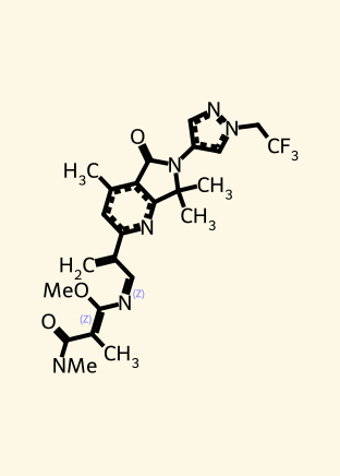 C=C(/C=N\C(OC)=C(/C)C(=O)NC)c1cc(C)c2c(n1)C(C)(C)N(c1cnn(CC(F)(F)F)c1)C2=O